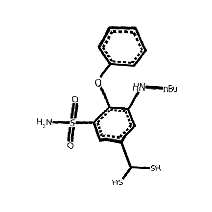 CCCCNc1cc(C(S)S)cc(S(N)(=O)=O)c1Oc1ccccc1